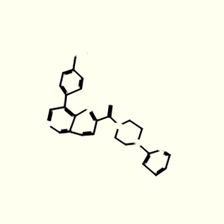 COc1ccc(-c2cncc3ccc(C(=O)N4CCN(c5ccccn5)CC4)nc23)cc1